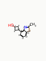 Cc1nc2c(C3CC(O)C3)cccc2s1